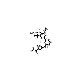 CN(C)C(=O)c1cc(Nc2nccc(-c3cc(C#N)c4c(c3)C(C)(CO)CN4)n2)n(C)n1